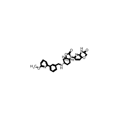 COc1cccc(-c2cccc(CN[C@H]3CC[C@H]4[C@H](C3)OC(=O)N4c3ccc4c(n3)NC(=O)CO4)c2)n1